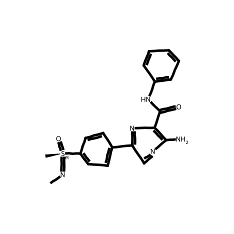 CN=[S@](C)(=O)c1ccc(-c2cnc(N)c(C(=O)Nc3ccccc3)n2)cc1